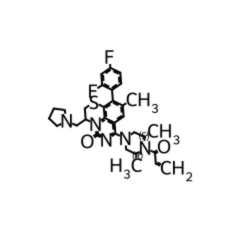 C=CC(=O)N1[C@H](C)CN(c2nc(=O)n3c4c(c(-c5ccc(F)cc5F)c(C)cc24)SCC3CN2CCCC2)C[C@@H]1C